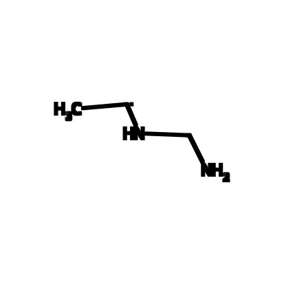 C[CH]NCN